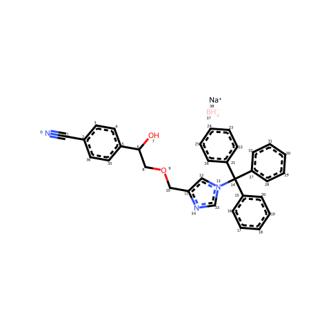 N#Cc1ccc(C(O)COCc2cn(C(c3ccccc3)(c3ccccc3)c3ccccc3)cn2)cc1.[BH4-].[Na+]